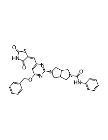 O=C1NC(=O)/C(=C\c2cc(OCc3ccccc3)nc(N3CC4CN(C(=O)Nc5ccccc5)CC4C3)n2)S1